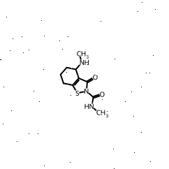 CNC(=O)n1sc2c(c1=O)C(NC)CCC2